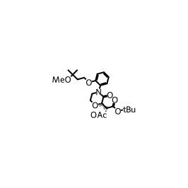 COC(C)(C)CCOc1ccccc1N1CCO[C@H]([C@@H](OC(C)=O)C(=O)OC(C)(C)C)C1=O